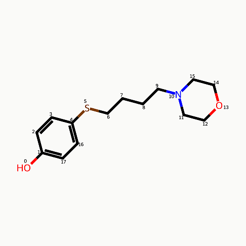 Oc1ccc(SCCCCN2CCOCC2)cc1